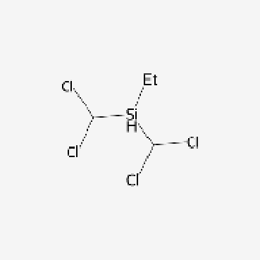 CC[SiH](C(Cl)Cl)C(Cl)Cl